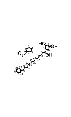 O=C(O)c1ccccc1.Oc1cc(O)cc(C(O)CNCCCCCOCCCCc2ccccc2)c1